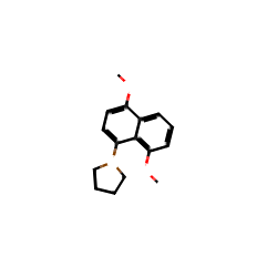 COc1ccc([S+]2CCCC2)c2c(OC)cccc12